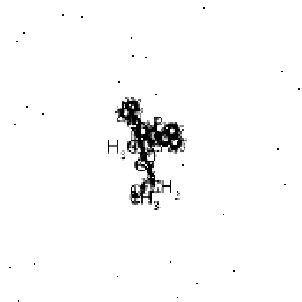 COCCN(C)C/C=C/S(=O)(=O)CCN(C)c1nc(OCC23CCCN2CCC3)nc2c(F)c(-c3cccc4cccc(Cl)c34)ncc12